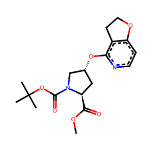 COC(=O)[C@@H]1C[C@@H](Oc2nccc3c2CCO3)CN1C(=O)OC(C)(C)C